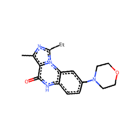 CCc1nc(C)c2c(=O)[nH]c3ccc(N4CCOCC4)cc3n12